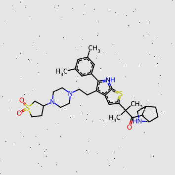 Cc1cc(C)cc(-c2[nH]c3sc(C(C)(C)C(=O)C4C5CCC4NC5)cc3c2CCN2CCN(C3CCS(=O)(=O)C3)CC2)c1